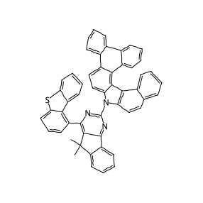 CC1(C)c2ccccc2-c2nc(-n3c4ccc5ccccc5c4c4c5c6ccccc6c6ccccc6c5ccc43)nc(-c3cccc4sc5ccccc5c34)c21